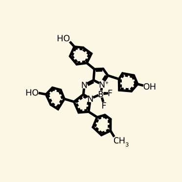 Cc1ccc(-c2cc(-c3ccc(O)cc3)c3n2[B-](F)(F)[N+]2=C(c4ccc(O)cc4)C=C(c4ccc(O)cc4)C2=N3)cc1